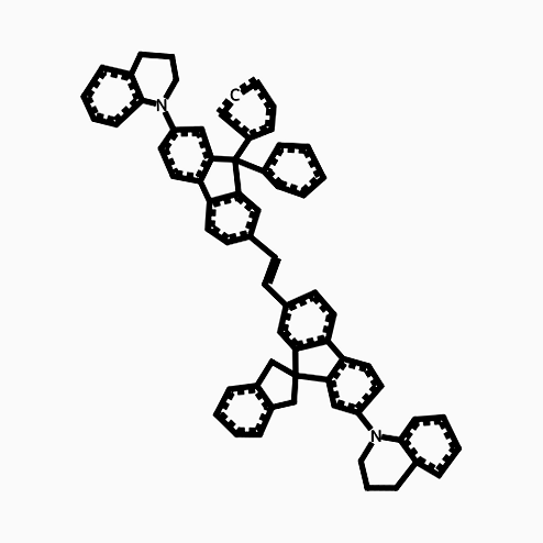 C(=C\c1ccc2c(c1)C(c1ccccc1)(c1ccccc1)c1cc(N3CCCc4ccccc43)ccc1-2)/c1ccc2c(c1)C1(Cc3ccccc3C1)c1cc(N3CCCc4ccccc43)ccc1-2